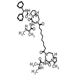 CN[C@@H](C)C(=O)N[C@H]1CN(C(=O)CCCCCCCCC(=O)N2CC[C@H]3CC[C@@H](C(=O)NC(c4ccccc4)c4ccccc4)N3C(=O)[C@@H](NC(=O)[C@H](C)NC)C2)CC[C@H]2CC[C@@H](C)N2C1=O